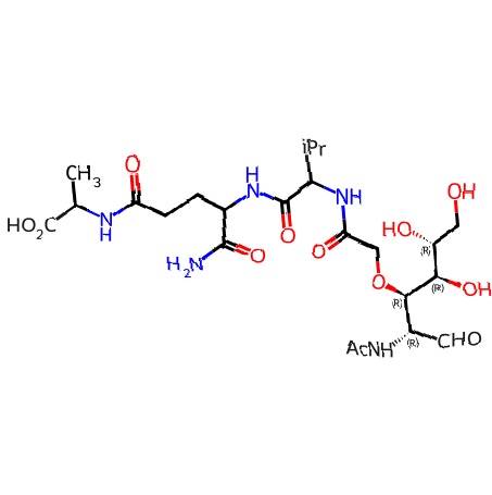 CC(=O)N[C@@H](C=O)[C@@H](OCC(=O)NC(C(=O)NC(CCC(=O)NC(C)C(=O)O)C(N)=O)C(C)C)[C@H](O)[C@H](O)CO